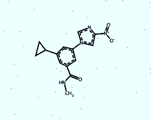 CNC(=O)c1cc(C2CC2)cc(-n2cnc([N+](=O)[O-])c2)c1